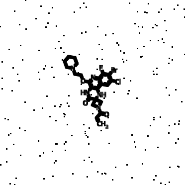 C=CC(=O)N1CC2(C1)Nc1c(c(OCCN3CCCCC3)nc3c(F)c(Br)c(Cl)cc13)NC2=O